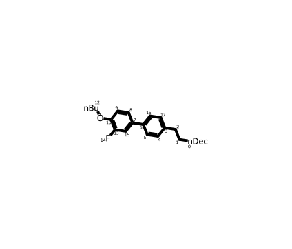 CCCCCCCCCCCCc1ccc(-c2ccc(OCCCC)c(F)c2)cc1